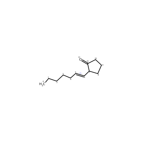 CCCCC/C=C/C1[CH]CCC1=O